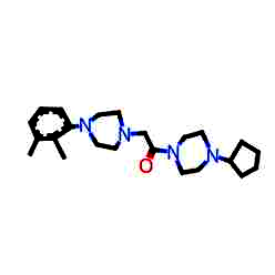 Cc1cccc(N2CCN(CC(=O)N3CCN(C4CCCC4)CC3)CC2)c1C